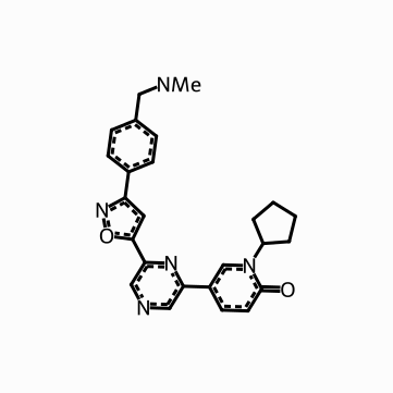 CNCc1ccc(-c2cc(-c3cncc(-c4ccc(=O)n(C5CCCC5)c4)n3)on2)cc1